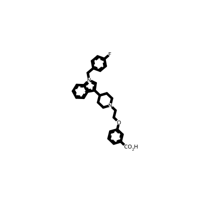 O=C(O)c1cccc(OCCN2CCC(c3cn(Cc4ccc(F)cc4)c4ccccc34)CC2)c1